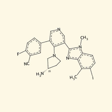 Cc1c(I)ccc2c1nc(-c1cncc(-c3ccc(F)c(C#N)c3)c1N1CC[C@H](N)C1)n2C